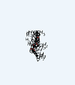 C=CC(=O)Nc1cc(Nc2nc(-c3ccnc(N4CCn5c(cc6c5CC(C)(C)C6)C4=O)c3CO)cn(C)c2=O)ccc1N1CCN(C2CCN(c3ccnc(C(C)(C)O)c3)[C@H](C)C2)C[C@@H]1C